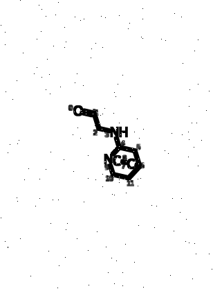 O=[C]CNC1CC2CCN1CC2